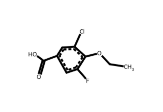 CCOc1c(F)cc(C(=O)O)cc1Cl